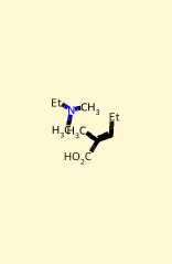 CCC=C(C)C(=O)O.CCN(C)C